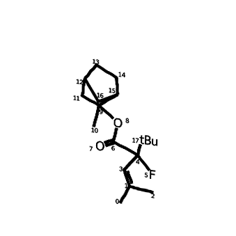 CC(C)=CC(F)(C(=O)OC1(C)CC2CCC1C2)C(C)(C)C